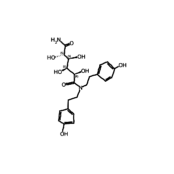 NC(=O)[C@@H](O)[C@@H](O)[C@H](O)[C@@H](O)C(=O)N(CCc1ccc(O)cc1)CCc1ccc(O)cc1